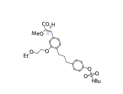 CCCCS(=O)(=O)Oc1ccc(CCCc2ccc(/C=C(\OC)C(=O)O)cc2OCCOCC)cc1